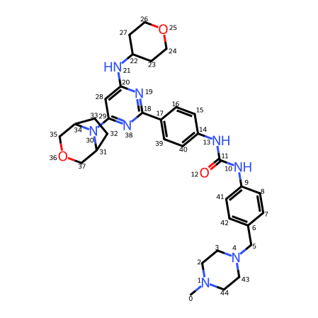 CN1CCN(Cc2ccc(NC(=O)Nc3ccc(-c4nc(NC5CCOCC5)cc(N5C6CCC5COC6)n4)cc3)cc2)CC1